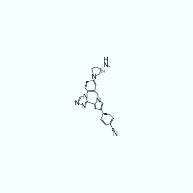 CN[C@H]1CCN(c2ccc3c(c2)Cn2cc(-c4ccc(C#N)cc4)cc2-c2nncn2-3)C1